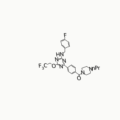 CCCN1CCN(C(=O)c2ccc(-c3nc(NCc4ccc(F)cc4)nc(OCC(F)(F)F)n3)cc2)CC1